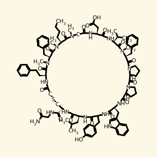 CCCC[C@H]1C(=O)N(C)CC(=O)N[C@@H](CC(=O)O)C(=O)N[C@@H](C(C)C)C(=O)N(C)[C@@H](Cc2ccccc2)C(=O)N2CCC[C@H]2C(=O)N2CCC[C@@H]2C(=O)N[C@@H](Cc2c[nH]c3ccccc23)C(=O)NC(Cc2ccc(O)cc2)C(=O)N[C@@H](CC(C)C)C(=O)N[C@H](C(=O)NCC(N)=O)CSCC(=O)N[C@@H](CCc2ccccc2)C(=O)N(C)[C@@H](Cc2ccccc2)C(=O)N1C